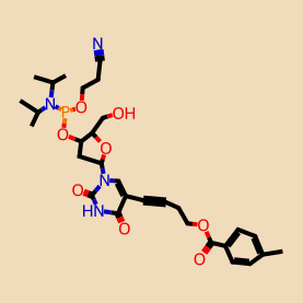 Cc1ccc(C(=O)OCCC#Cc2cn(C3CC(OP(OCCC#N)N(C(C)C)C(C)C)C(CO)O3)c(=O)[nH]c2=O)cc1